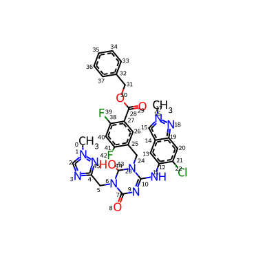 Cn1cnc(CN2C(=O)N=C(Nc3cc4cn(C)nc4cc3Cl)N(Cc3cc(C(=O)OCc4ccccc4)c(F)cc3F)C2O)n1